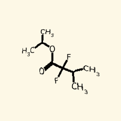 CC(C)OC(=O)C(F)(F)C(C)C